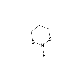 FN1SCCCS1